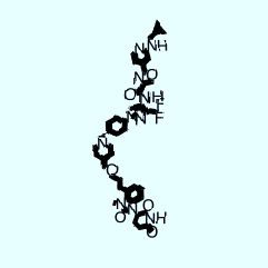 Cn1c(=O)n(C2CCC(=O)NC2=O)c2cccc(CCCOCC3CCN(C[C@H]4CC[C@H](n5cc(NC(=O)c6coc(-c7ccnc(NCC8CC8)c7)n6)c(C(F)F)n5)CC4)CC3)c21